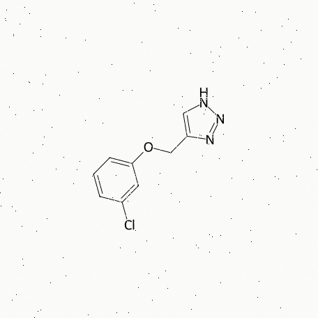 Clc1cccc(OCc2c[nH]nn2)c1